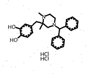 CN1CCN(C(c2ccccc2)c2ccccc2)CC1(C)Cc1ccc(O)c(O)c1.Cl.Cl